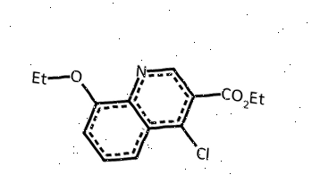 CCOC(=O)c1cnc2c(OCC)cccc2c1Cl